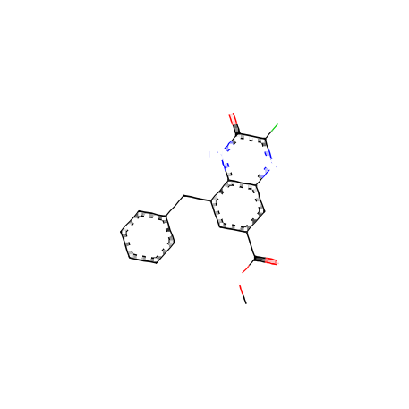 COC(=O)c1cc(Cc2ccccc2)c2[nH]c(=O)c(Cl)nc2c1